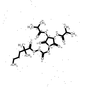 CCCCC(C)(C)C(=O)OOC(=O)ON1C(=O)[C@@H](OC(=O)C(C)C)[C@H](OC(=O)C(C)C)C1=O